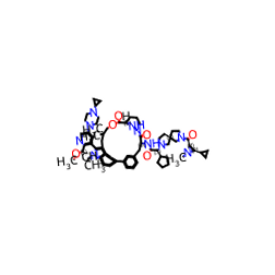 CCn1c(-c2cc(N3CCN(C4CC4)CC3)cnc2[C@H](C)OC)c2c3cc(ccc31)-c1cccc(c1)C[C@H](NC(=O)[C@H](C1CCCC1)N1CC[C@]3(CCN(C(=O)[C@H]4[C@@H](C5CC5)N4C)C3)C1)C(=O)N1CCC[C@H](N1)C(=O)OCC(C)(C)C2